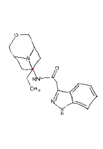 CCCN1C2COCC1CC(NC(=O)c1n[nH]c3ccccc13)C2